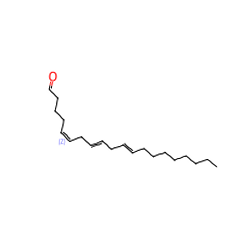 CCCCCCCCC=CCC=CC/C=C\CCCC=O